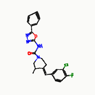 CC1CN(C(=O)Nc2nnc(-c3ccccc3)o2)CC/C1=C\c1ccc(F)c(Cl)c1